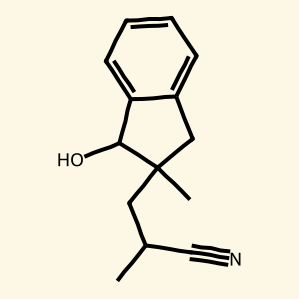 CC(C#N)CC1(C)Cc2ccccc2C1O